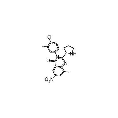 Cc1cc([N+](=O)[O-])cc2c(=O)n(-c3ccc(Cl)c(F)c3)c(C3CCCN3)nc12